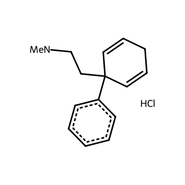 CNCCC1(c2ccccc2)C=CCC=C1.Cl